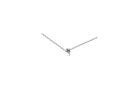 [CH2]Cc1cc(CCCCCCCCCCCCCCCCCCCCCCC)nc(CCCCCCCCCCCCCCCCCCCCCCC)c1